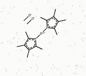 C[O-].C[O-].Cc1c(C)c(C)[p]([Zr+2][p]2c(C)c(C)c(C)c2C)c1C